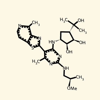 CO[C@H](C)CNc1nc(C)c(-c2nc3c(C)nccc3s2)c(N[C@@H]2C[C@H](C(C)(C)O)[C@@H](O)[C@H]2O)n1